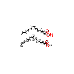 CCCCCCCCC(C)CCCCCCCC(=O)O.CCCCCCCCC(C)CCCCCCCC(=O)OC